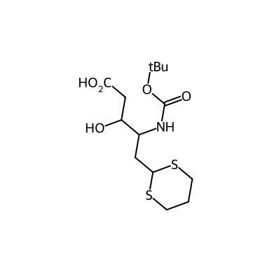 CC(C)(C)OC(=O)NC(CC1SCCCS1)C(O)CC(=O)O